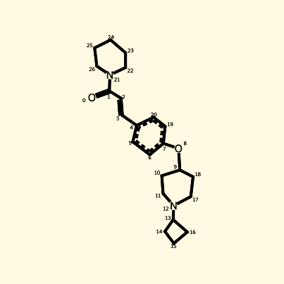 O=C(C=Cc1ccc(OC2CCN(C3CCC3)CC2)cc1)N1CCCCC1